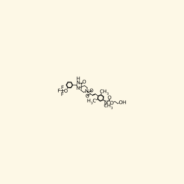 Cc1cc(N(C)C(=O)OCCO)cc(C)c1/C=C/S(=O)(=O)N1CCC2(CC1)N=C(c1cccc(OC(F)(F)F)c1)NC2=O